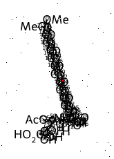 COCCOCCOCCOCCOCCOCCOCCOCCOCCOCCOCCOc1ccc(CC(C(=O)N[C@H](C(=O)NC(=O)C(=O)Nc2ccc(COC(C)=O)c(CCC3OC(C(=O)O)C(O)C(O)C3O)c2)C(C)C)C2C(=O)C=CC2=O)cc1OCCOCCOCCOCCOCCOCCOCCOCCOCCOCCOCCOC